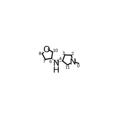 CN1CC[C@@H](N[C@@H]2CCOC2)C1